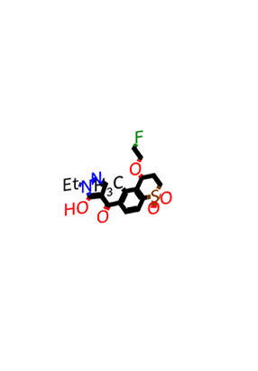 CCn1ncc(C(=O)c2ccc3c(c2C)C(OCCF)CCS3(=O)=O)c1O